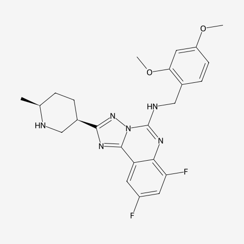 COc1ccc(CNc2nc3c(F)cc(F)cc3c3nc([C@@H]4CC[C@H](C)NC4)nn23)c(OC)c1